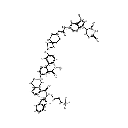 Cc1c(OC2CC3(CCN(CC(=O)Nc4ccc5c(C6CCC(=O)NC6=O)nn(C)c5n4)CC3)C2)cccc1-c1ccc(N2CCc3ccnc(C(=O)N(COCC[Si](C)(C)C)c4nc5ccccc5s4)c3C2)nc1C(=O)OC(C)(C)C